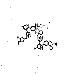 Cc1nc2cc(-c3ncc(F)cc3-c3cnn(CC4C[C@@H](F)[C@H](F)C4)c3)ccc2n1C1CCCC1(F)Cn1cc(-c2cc(F)cnc2-c2ccc3c(c2)C(=O)N(C2CC2)C3)cn1